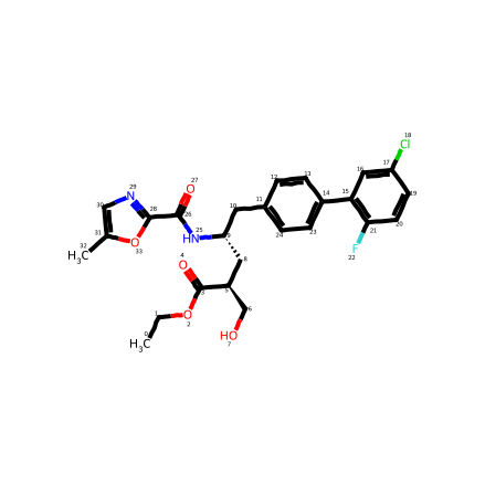 CCOC(=O)[C@H](CO)C[C@@H](Cc1ccc(-c2cc(Cl)ccc2F)cc1)NC(=O)c1ncc(C)o1